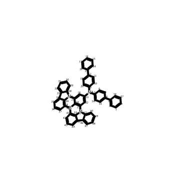 c1ccc(-c2ccc(N(c3ccc(-c4ccccc4)cc3)c3cc4c5c(c3)-n3c6ccccc6c6cccc(c63)B5c3cccc5c6ccccc6n-4c35)cc2)cc1